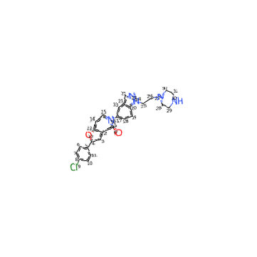 O=c1c2cc(-c3ccc(Cl)cc3)oc2ccn1-c1ccc2c(cnn2CCN2CCNCC2)c1